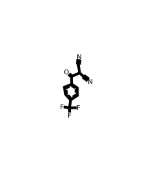 N#CC(C#N)C(=O)c1ccc(C(F)(F)F)cc1